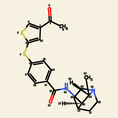 CC(=O)c1csc(Sc2ccc(C(=O)N[C@@H]3C4CCN(CC4)[C@H]3C)cc2)c1